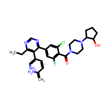 C=C(N)/C=C\C(=C/N)c1c(CC)ncnc1-c1cc(F)c(C(=O)N2CCN(C3CCCC3O)CC2)c(Cl)c1